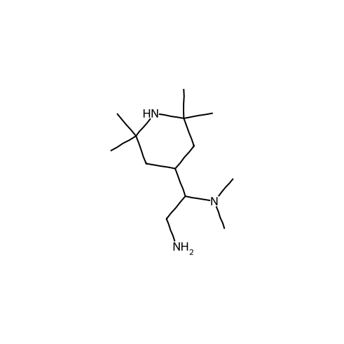 CN(C)C(CN)C1CC(C)(C)NC(C)(C)C1